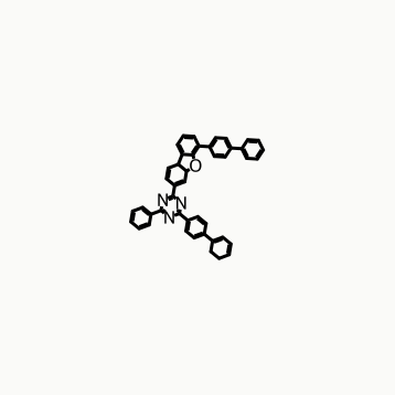 C1=CCCC(c2ccc(-c3nc(C4=CC5Oc6c(-c7ccc(-c8ccccc8)cc7)cccc6C5C=C4)nc(-c4ccccc4)n3)cc2)=C1